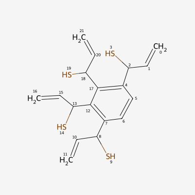 C=CC(S)c1ccc(C(S)C=C)c(C(S)C=C)c1C(S)C=C